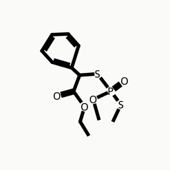 CCOC(=O)C(SP(=O)(OC)SC)c1ccccc1